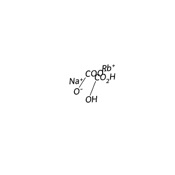 O=C(O)O.O=C([O-])[O-].[Na+].[Rb+]